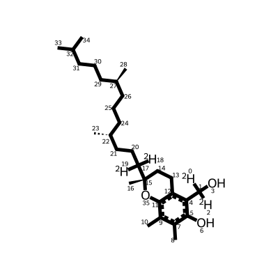 [2H]C([2H])(O)c1c(O)c(C)c(C)c2c1CC[C@@](C)(C([2H])([2H])CC[C@H](C)CCC[C@H](C)CCCC(C)C)O2